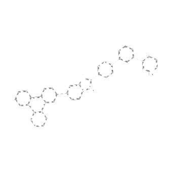 c1cncc(-c2cccc(-c3ccc(-c4nc5ccc(-c6ccc7c8ccccc8c8ccccc8c7c6)cc5o4)cc3)c2)c1